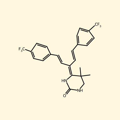 CC1(C)CNC(=O)NC1=C(C=Cc1ccc(C(F)(F)F)cc1)C=Cc1ccc(C(F)(F)F)cc1